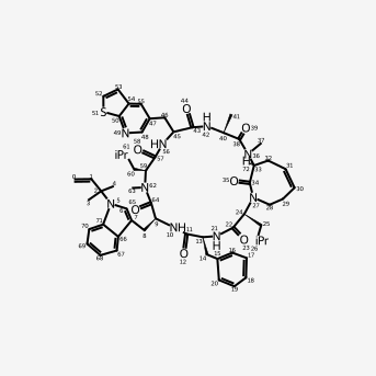 C=CC(C)(C)n1cc(C[C@@H]2NC(=O)[C@H](Cc3ccccc3)NC(=O)[C@H](CC(C)C)N3CC/C=C\C[C@@H](C3=O)N(C)C(=O)[C@H](C)NC(=O)C(Cc3cnc4sccc4c3)NC(=O)[C@H](CC(C)C)N(C)C2=O)c2ccccc21